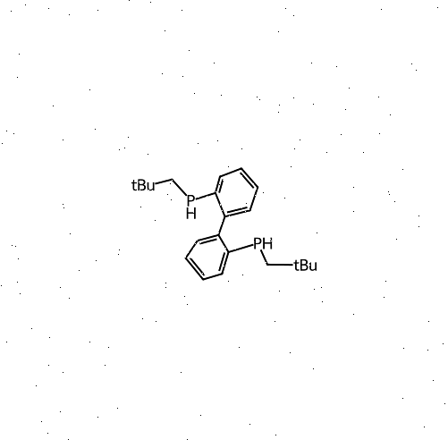 CC(C)(C)CPc1ccccc1-c1ccccc1PCC(C)(C)C